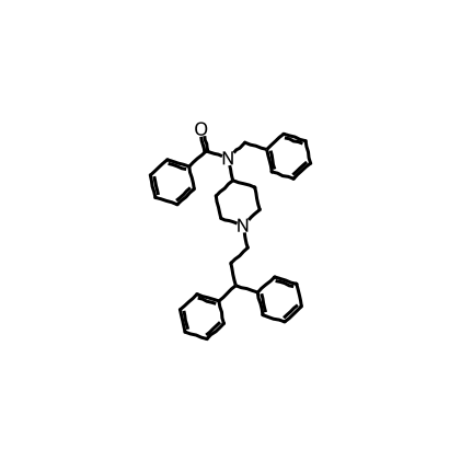 O=C(c1ccccc1)N(Cc1ccccc1)C1CCN(CCC(c2ccccc2)c2ccccc2)CC1